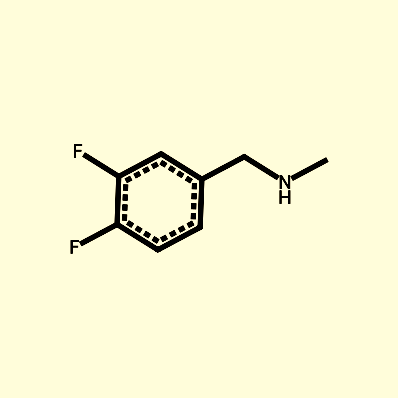 CNCc1ccc(F)c(F)c1